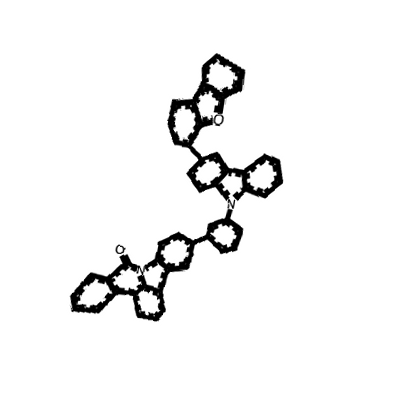 O=c1c2ccccc2c2cccc3c4cc(-c5cccc(-n6c7ccccc7c7cc(-c8cccc9c8oc8ccccc89)ccc76)c5)ccc4n1c23